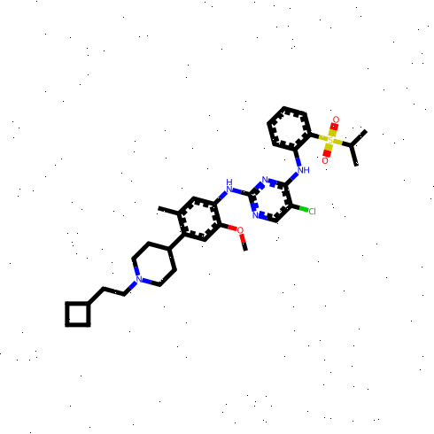 COc1cc(C2CCN(CCC3CCC3)CC2)c(C)cc1Nc1ncc(Cl)c(Nc2ccccc2S(=O)(=O)C(C)C)n1